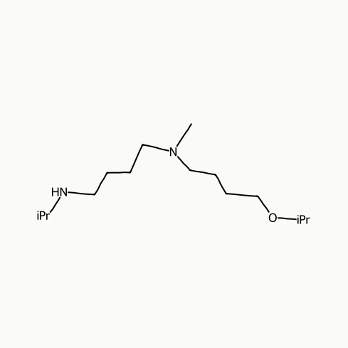 CC(C)NCCCCN(C)CCCCOC(C)C